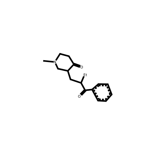 CCC(CC1CN(C)CCC1=O)C(=O)c1ccccc1